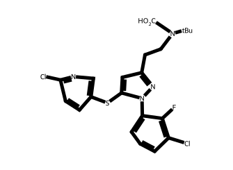 CC(C)(C)N(CCc1cc(Sc2ccc(Cl)nc2)n(-c2cccc(Cl)c2F)n1)C(=O)O